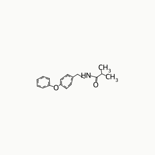 CC(C)C(=O)NCCc1ccc(Oc2ccccc2)cc1